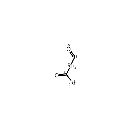 O=[C][Ru][C](=O)[Rh]